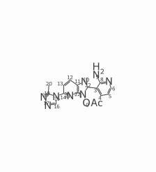 CC(=O)On1c(-c2cccnc2N)nc2ccc(-n3cnnc3C)nc21